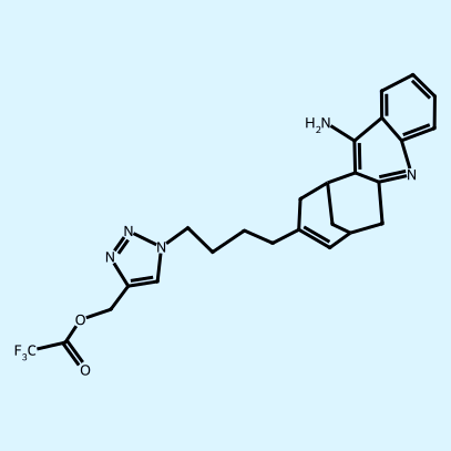 Nc1c2c(nc3ccccc13)CC1C=C(CCCCn3cc(COC(=O)C(F)(F)F)nn3)CC2C1